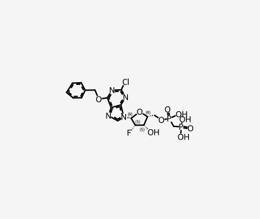 O=P(O)(O)CP(=O)(O)OC[C@H]1O[C@@H](n2cnc3c(OCc4ccccc4)nc(Cl)nc32)[C@@H](F)[C@H]1O